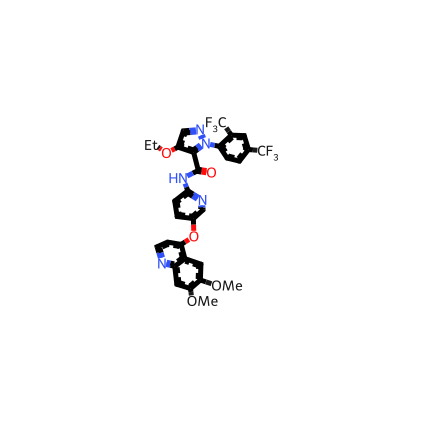 CCOc1cnn(-c2ccc(C(F)(F)F)cc2C(F)(F)F)c1C(=O)Nc1ccc(Oc2ccnc3cc(OC)c(OC)cc23)cn1